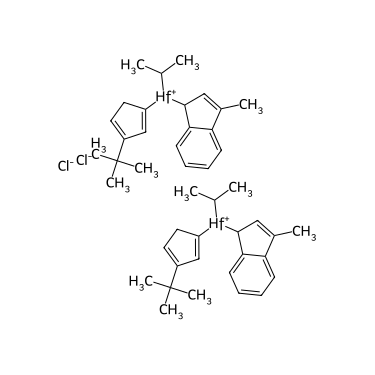 CC1=C[CH]([Hf+]([C]2=CC(C(C)(C)C)=CC2)[CH](C)C)c2ccccc21.CC1=C[CH]([Hf+]([C]2=CC(C(C)(C)C)=CC2)[CH](C)C)c2ccccc21.[Cl-].[Cl-]